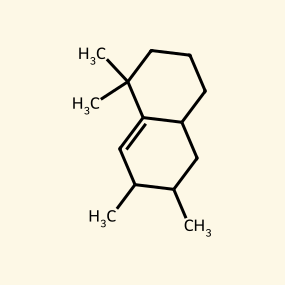 CC1C=C2C(CCCC2(C)C)CC1C